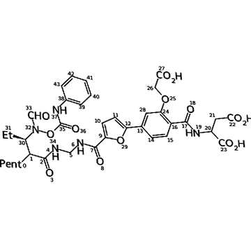 CCCCCC(C(=O)NCNC(=O)c1ccc(-c2ccc(C(=O)NC(CC(=O)O)C(=O)O)c(OCC(=O)O)c2)o1)[C@@H](CC)N(C=O)OC(=O)Nc1ccccc1